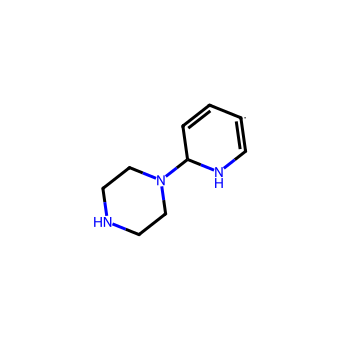 [C]1=CNC(N2CCNCC2)C=C1